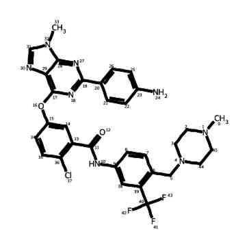 CN1CCN(Cc2ccc(NC(=O)c3cc(Oc4nc(-c5ccc(N)cc5)nc5c4ncn5C)ccc3Cl)cc2C(F)(F)F)CC1